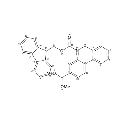 COC(OC)c1ccc(-c2ccccc2CNC(=O)OCC2c3ccccc3-c3ccccc32)cc1